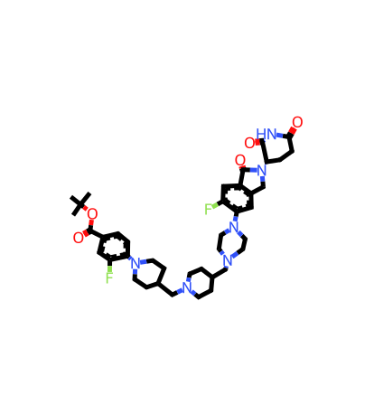 CC(C)(C)OC(=O)c1ccc(N2CCC(CN3CCC(CN4CCN(c5cc6c(cc5F)C(=O)N([C@H]5CCC(=O)NC5=O)C6)CC4)CC3)CC2)c(F)c1